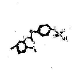 COc1ccc(C)cc1NC(=O)Nc1ccc(NS(N)(=O)=O)cc1